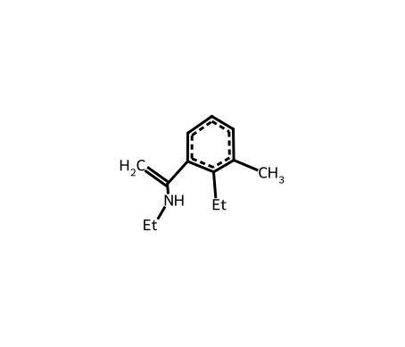 C=C(NCC)c1cccc(C)c1CC